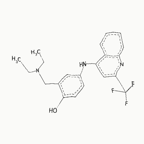 CCN(CC)Cc1cc(Nc2cc(C(F)(F)F)nc3ccccc23)ccc1O